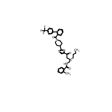 CCCC[C@@H](CNC(=O)c1ccccc1C)CC(=O)c1csc(C2CCN(C(=O)c3ccccc3-c3ccc(C(F)(F)F)cc3)CC2)n1